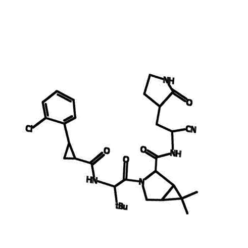 CC(C)(C)C(NC(=O)C1CC1c1ccccc1Cl)C(=O)N1CC2C(C1C(=O)NC(C#N)CC1CCNC1=O)C2(C)C